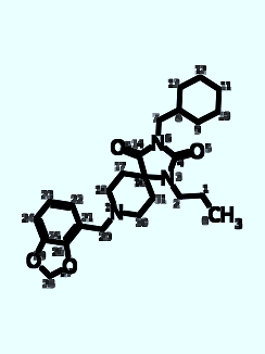 CCCN1C(=O)N(CC2CCCCC2)C(=O)C12CCN(Cc1cccc3c1OCO3)CC2